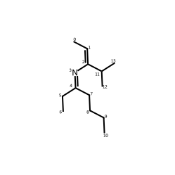 C/C=C(\N=C(\CC)CCCC)C(C)C